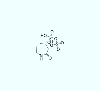 O=C1CCCCCN1.O=S(=O)(O)OS(=O)(=O)O